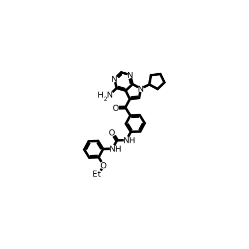 CCOc1ccccc1NC(=O)Nc1cccc(C(=O)c2cn(C3CCCC3)c3ncnc(N)c23)c1